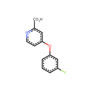 O=C(O)c1cc(Oc2cccc(F)c2)ccn1